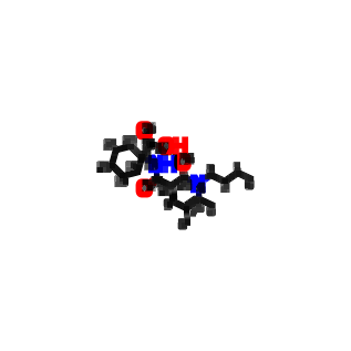 CCCCn1c(C)c(C)cc(C(=O)NC2(C(=O)O)CCCCC2)c1=O